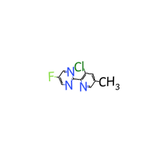 Cc1cnc(-c2ncc(F)cn2)c(Cl)c1